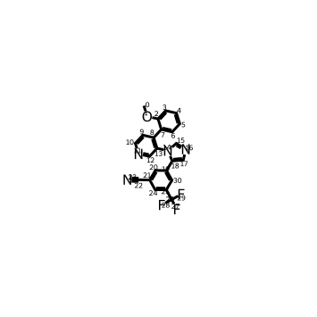 COc1ccccc1-c1ccncc1-n1cncc1-c1cc(C#N)cc(C(F)(F)F)c1